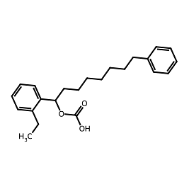 CCc1ccccc1C(CCCCCCCc1ccccc1)OC(=O)O